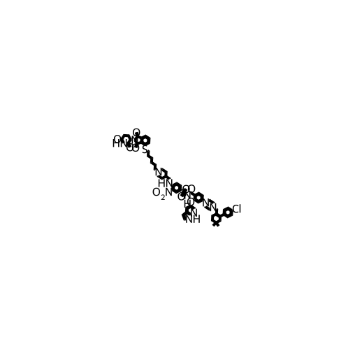 CC1(C)CCC(CN2CCN(c3ccc(C(=O)NS(=O)(=O)c4ccc(NCC5CCN(CCCCCCSc6cccc7c6C(=O)N(C6CCC(=O)NC6=O)C7=O)CC5)c([N+](=O)[O-])c4)c(Oc4cnc5[nH]ccc5c4)c3)CC2)=C(c2ccc(Cl)cc2)C1